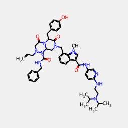 C=CCN1CC(=O)N2C(Cc3ccc(O)cc3)C(=O)N(Cc3cccc4c(C(=O)Nc5ccc(NCCN(C(C)C)C(C)C)nc5)cn(C)c34)CC2N1C(=O)NCc1ccccc1